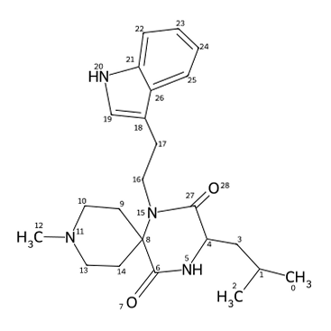 CC(C)CC1NC(=O)C2(CCN(C)CC2)N(CCc2c[nH]c3ccccc23)C1=O